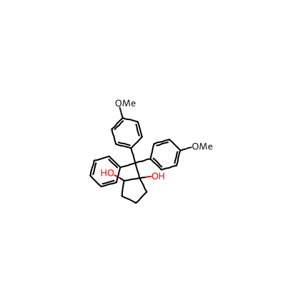 COc1ccc(C(c2ccccc2)(c2ccc(OC)cc2)C2(O)CCCC2O)cc1